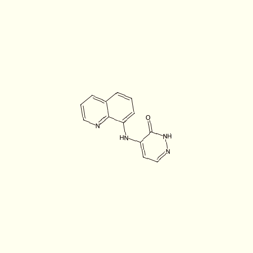 O=c1[nH]nccc1Nc1cccc2cccnc12